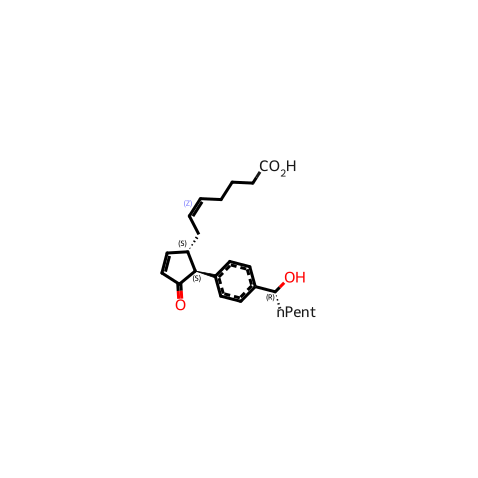 CCCCC[C@@H](O)c1ccc([C@H]2C(=O)C=C[C@@H]2C/C=C\CCCC(=O)O)cc1